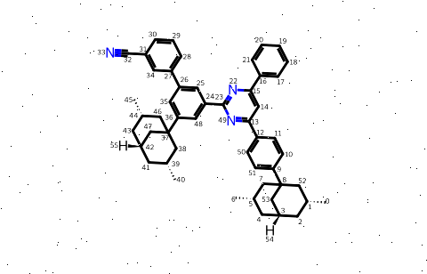 C[C@@H]1C[C@@H]2C[C@H](C)CC(c3ccc(-c4cc(-c5ccccc5)nc(-c5cc(-c6cccc(C#N)c6)cc(C67C[C@H](C)C[C@H](C[C@H](C)C6)C7)c5)n4)cc3)(C1)C2